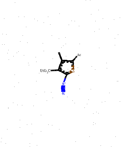 CCOC(=O)c1c([N+]#N)sc(C(C)=O)c1C